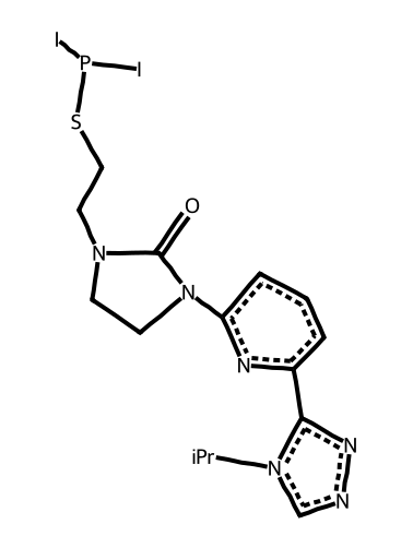 CC(C)n1cnnc1-c1cccc(N2CCN(CCSP(I)I)C2=O)n1